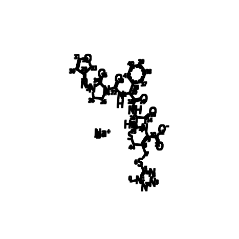 Cn1nnnc1SCC1=C(C(=O)[O-])N2C(=O)C(NC(=O)C(NC(=O)N3CCN(N=C4C=COC4)C3=O)c3ccccc3)[C@@H]2SC1.[Na+]